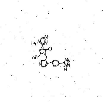 CCCc1cn(-c2nncn2C(C)C)c(=O)n1Cc1cnccc1-c1ccc(-c2nnn[nH]2)cc1